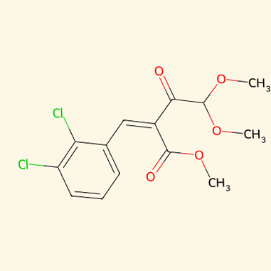 COC(=O)C(=Cc1cccc(Cl)c1Cl)C(=O)C(OC)OC